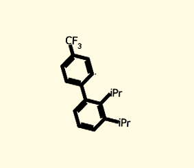 CC(C)c1cccc(-c2[c]cc(C(F)(F)F)cc2)c1C(C)C